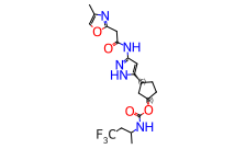 Cc1coc(CC(=O)Nc2cc([C@H]3CC[C@@H](OC(=O)NC(C)CC(F)(F)F)C3)[nH]n2)n1